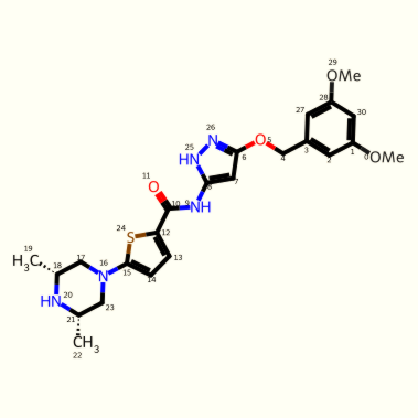 COc1cc(COc2cc(NC(=O)c3ccc(N4C[C@@H](C)N[C@@H](C)C4)s3)[nH]n2)cc(OC)c1